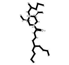 CCCCC(CCCC)CCCC(=O)N1C[C@@H](CC)N(CC(C)CCC)[C@@H](CC)C1